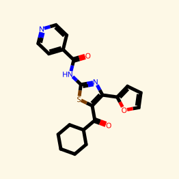 O=C(Nc1nc(-c2ccco2)c(C(=O)C2CCCCC2)s1)c1ccncc1